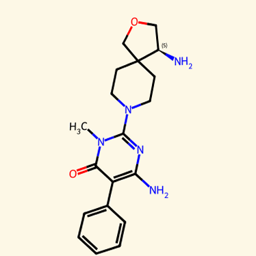 Cn1c(N2CCC3(CC2)COC[C@H]3N)nc(N)c(-c2ccccc2)c1=O